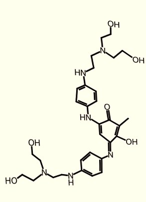 CC1=C(O)/C(=N/c2ccc(NCCN(CCO)CCO)cc2)C=C(Nc2ccc(NCCN(CCO)CCO)cc2)C1=O